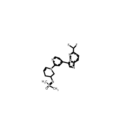 CS(C)(=O)=NC1CC=CN(c2cc(-c3cnc4ccc(C(F)F)nn34)ccn2)C1